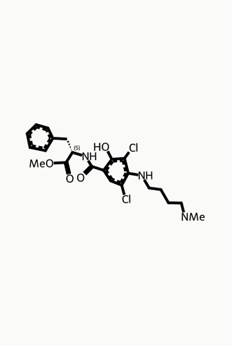 CNCCCCNc1c(Cl)cc(C(=O)N[C@@H](Cc2ccccc2)C(=O)OC)c(O)c1Cl